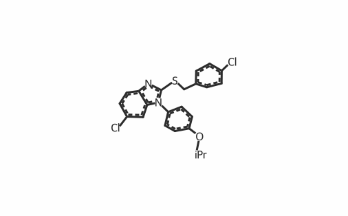 CC(C)Oc1ccc(-n2c(SCc3ccc(Cl)cc3)nc3ccc(Cl)cc32)cc1